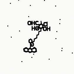 Cc1c(Cl)c(O)c(CCCCCCCC(=O)OCc2c3ccccc3cc3ccccc23)c(O)c1C=O